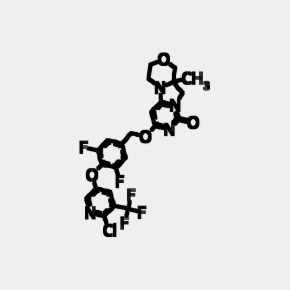 CC12COCCN1c1cc(OCc3cc(F)c(Oc4cnc(Cl)c(C(F)(F)F)c4)c(F)c3)nc(=O)n1C2